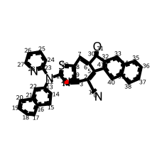 N#CC(C#N)=C1/C(=C\c2ccc(N(c3ccc4ccccc4c3)c3ccccn3)s2)C(=O)c2cc3ccccc3cc21